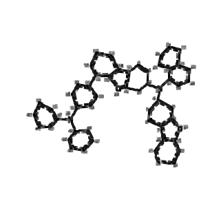 C1=CC(N(c2ccc3c(c2)oc2ccccc23)c2cccc3ccccc23)Cc2oc3c(-c4ccc(N(c5ccccc5)c5ccccc5)cc4)cccc3c21